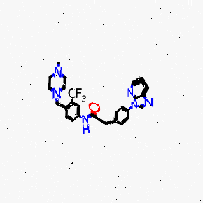 CN1CCN(Cc2ccc(NC(=O)Cc3ccc(-n4cnc5cccnc54)cc3)cc2C(F)(F)F)CC1